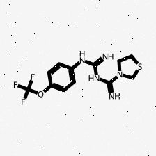 N=C(NC(=N)N1CCSC1)Nc1ccc(OC(F)(F)F)cc1